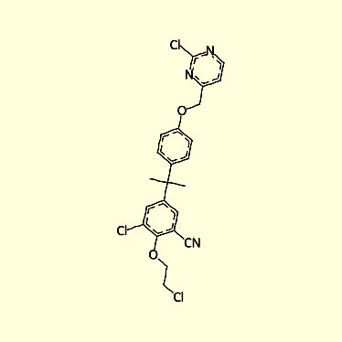 CC(C)(c1ccc(OCc2ccnc(Cl)n2)cc1)c1cc(Cl)c(OCCCl)c(C#N)c1